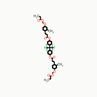 C=CC(=O)OCOc1ccc(C=CC(=O)Oc2ccc(C(c3ccc(OC(=O)C=Cc4ccc(OCOC(=O)C=C)cc4C)cc3)(C(F)(F)F)C(F)(F)F)cc2)c(C)c1